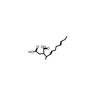 CCC=CCCC=CC(C)C(CC(=O)O)C(=O)O